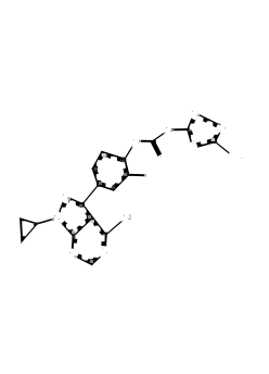 CC(C)(C)c1nnc(NC(=O)Nc2ccc(-c3nn(C4CC4)c4ncnc(N)c34)cc2F)s1